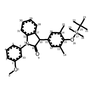 COc1cccc(N2C(=O)C(c3cc(C)c(O[Si](C)(C)C(C)(C)C)c(C)c3)c3ccccc32)c1